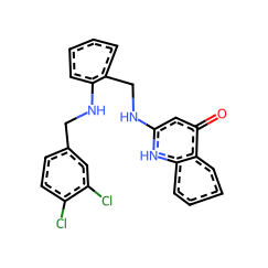 O=c1cc(NCc2ccccc2NCc2ccc(Cl)c(Cl)c2)[nH]c2ccccc12